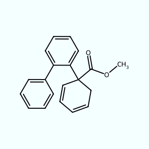 COC(=O)C1(c2ccccc2-c2ccccc2)C=CC=CC1